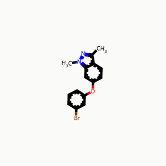 Cc1nn(C)c2cc(Oc3cccc(Br)c3)ccc12